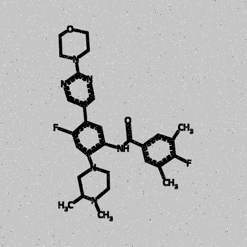 Cc1cc(C(=O)Nc2cc(-c3cnc(N4CCOCC4)nc3)c(F)cc2N2CCN(C)C(C)C2)cc(C)c1F